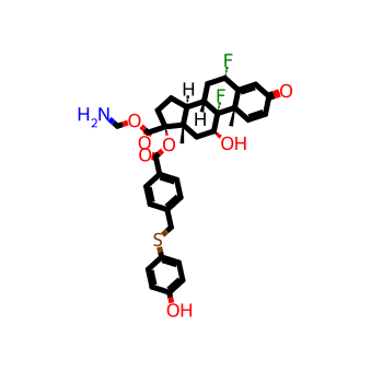 C[C@]12C=CC(=O)C=C1[C@@H](F)C[C@H]1[C@@H]3CC[C@](OC(=O)c4ccc(CSc5ccc(O)cc5)cc4)(C(=O)OCN)[C@@]3(C)C[C@H](O)[C@@]12F